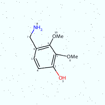 COc1c(O)ccc(CN)c1OC